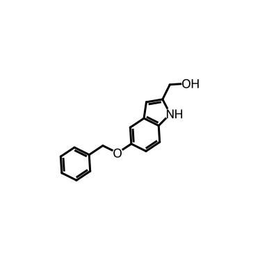 OCc1cc2cc(OCc3ccccc3)ccc2[nH]1